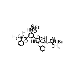 CCS(=O)(=O)Nc1cc(C(=O)N[C@@H](Cc2ccccc2)[C@H](O)CNCc2cnn(C(C)(C)C)c2C)cc(C(=O)N[C@H](C)c2ccccc2)c1